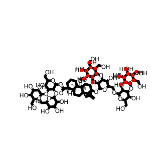 C=C1C[C@@]23CC[C@H]4[C@@](C)(CCC[C@@]4(C)C(=O)OC4OC(CO)C(O)C(OC5OC(CO)C(O)C(O)C5O)C4OC4OC(CO)C(O)C(O)C4O)[C@@H]2CCC1(OC1OC(COC2OC(CO)C(O)C(OC4OC(CO)C(O)C(O)C4O)C2OC2OC(CO)C(O)C(O)C2O)C(O)C(OC2OC(CO)C(O)C(O)C2O)C1OC1OC(CO)C(O)C(O)C1O)C3